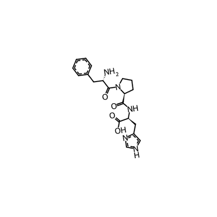 N[C@@H](Cc1ccccc1)C(=O)N1CCC[C@H]1C(=O)N[C@@H](Cc1c[nH]cn1)C(=O)O